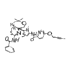 CC#CCOc1ccc(C(=O)NC2=CSC([C@]34COC(C)(C)C[C@H]3CSC(NC(=O)c3ccccc3)=N4)N2C)nc1